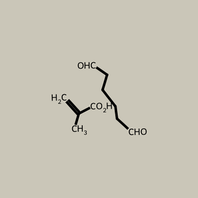 C=C(C)C(=O)O.O=CCCCCC=O